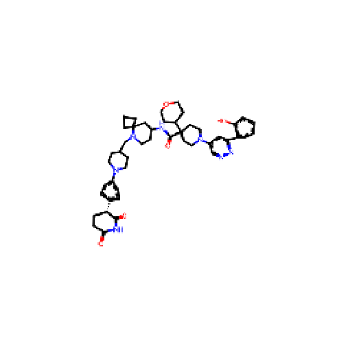 O=C1CC[C@H](c2ccc(N3CCC(CN4CCC(NC(=O)C5(C6CCOCC6)CCN(c6cnnc(-c7ccccc7O)c6)CC5)CC45CCC5)CC3)cc2)C(=O)N1